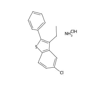 CCc1c(-c2ccccc2)sc2ccc(Cl)cc12.Cl.N